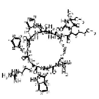 CCCCC(C(=O)N[C@H]1CSSC[C@@H](C(N)=O)NC(=O)[C@H](Cc2c[nH]c3ccccc23)NC(=O)[C@H](CCCNC(=N)N)NC(=O)[C@@H](Cc2ccccc2)NC(=O)[C@H](Cc2cnc[nH]2)NC(=O)[C@@H](C)NC1=O)N1C(=O)NC(C)(C)C1=O